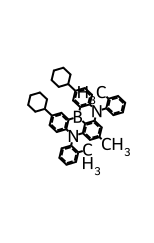 Cc1cc2c3c(c1)N(c1ccccc1C)c1ccc(C4CCCCC4)cc1B3c1cc(C3CCCCC3)ccc1N2c1ccccc1C